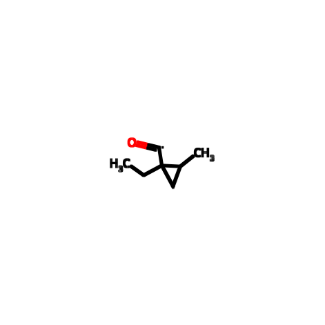 CCC1([C]=O)CC1C